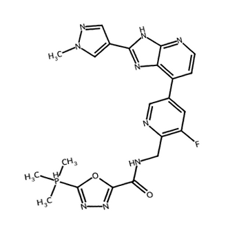 Cn1cc(-c2nc3c(-c4cnc(CNC(=O)c5nnc([PH](C)(C)C)o5)c(F)c4)ccnc3[nH]2)cn1